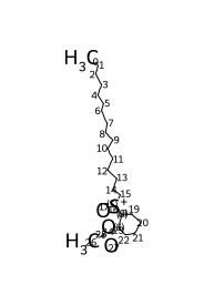 CCCCCCCCCCCCCCCC[S@@+]([O-])[C@H]1CCCC[C@@H]1OC(C)=O